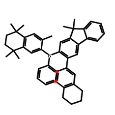 Cc1cc2c(cc1N(c1ccccc1)c1cc3c(cc1-c1ccc4c(c1)CCCC4)-c1ccccc1C3(C)C)C(C)(C)CCC2(C)C